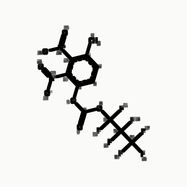 Cc1ccc(OC(=O)OC(F)(F)C(F)(F)C(F)(F)F)c([N+](=O)[O-])c1[N+](=O)[O-]